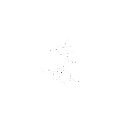 CC(C)CC(C)(C(=O)OC12CC3CC(O)(CC(O)(C3)C1)C2)C(C)(C)C